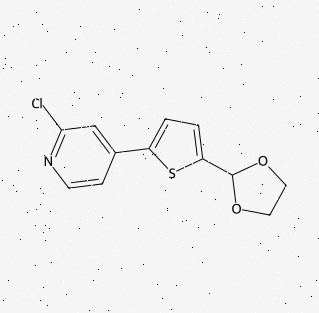 Clc1cc(-c2ccc(C3OCCO3)s2)ccn1